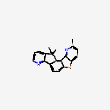 Cc1ccc2sc3ccc4c(c3c2n1)C(C)(C)c1cccnc1-4